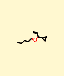 C=CC(OCCCCC)C1CC1